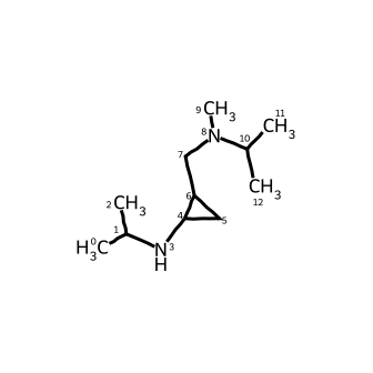 CC(C)NC1CC1CN(C)C(C)C